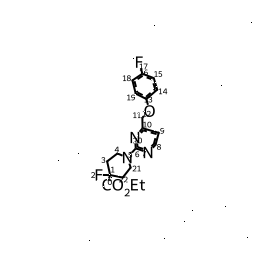 CCOC(=O)C1(F)CCN(c2nccc(COc3ccc(F)cc3)n2)CC1